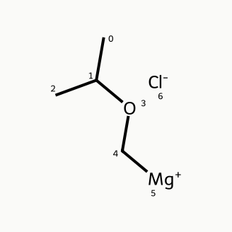 CC(C)O[CH2][Mg+].[Cl-]